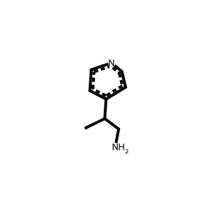 CC(CN)c1ccncc1